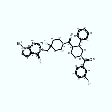 CCn1ccc2c(=O)n(CC3(O)CCN(C(=O)C4CCN(C(=O)c5cccc(F)c5)CC4c4ccccc4)CC3)cnc21